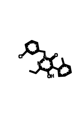 CCc1nn(Cc2cccc(Cl)c2)c(=O)c(-c2ccccc2C)c1O